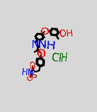 Cc1cc(Oc2ccc3nc(C(C)Oc4ccc(CC5SC(=O)NC5=O)cc4)[nH]c3c2)ccc1O.Cl